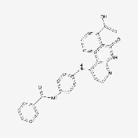 O=C(Nc1ccc(Nc2ccnc3[nH]c(=O)c4c(C(=O)O)cccc4c23)cc1)c1ccccc1